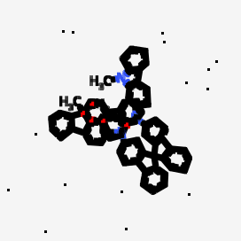 Cn1c2ccccc2c2ccc(N(c3ccccc3)c3ccc4c(c3)C3(c5ccccc5-4)c4ccccc4-c4ccc(N(c5ccc6c(c5)C(C)(C)c5ccccc5-6)c5ccccc5-c5ccccc5)cc43)cc21